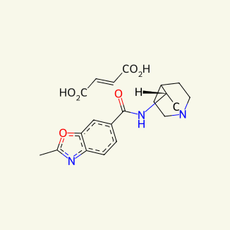 Cc1nc2ccc(C(=O)N[C@H]3CN4CCC3CC4)cc2o1.O=C(O)/C=C/C(=O)O